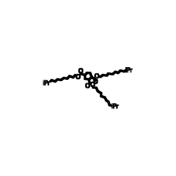 CC(C)CCCCCCCCCOC(=O)C1CCC(C(=O)OCCCCCCCCCC(C)C)C(C(=O)OCCCCCCCCCC(C)C)C1